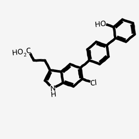 O=C(O)CCc1c[nH]c2cc(Cl)c(-c3ccc(-c4ccccc4O)cc3)cc12